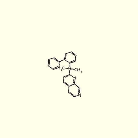 C[N+](C)(c1ccc2ccncc2n1)c1ccccc1-c1ccccc1